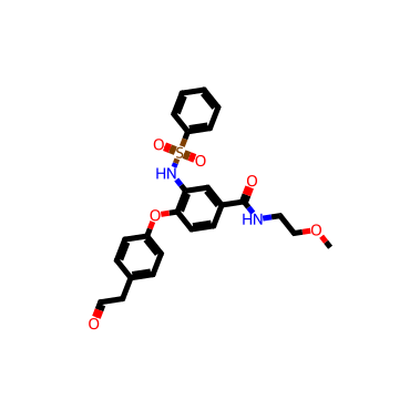 COCCNC(=O)c1ccc(Oc2ccc(CC=O)cc2)c(NS(=O)(=O)c2ccccc2)c1